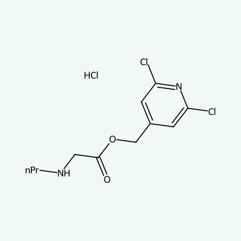 CCCNCC(=O)OCc1cc(Cl)nc(Cl)c1.Cl